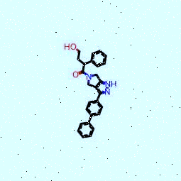 O=C(C(CCO)c1ccccc1)N1Cc2[nH]nc(-c3ccc(-c4ccccc4)cc3)c2C1